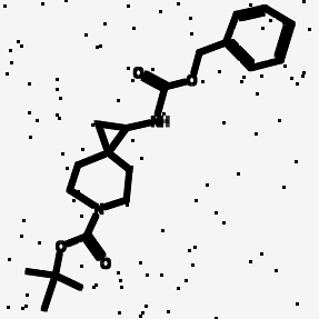 CC(C)(C)OC(=O)N1CCC2(CC1)CC2NC(=O)OCc1ccccc1